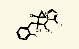 CC(n1ncnc1S)C(O)(Cc1ccccc1Cl)C1(Cl)CC1